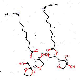 CCCCCCCC/C=C\CCCCCCCC(=O)O[C@@H]1[C@@H](O)CO[C@@H]1C1(CO)OCCO1.CCCCCCCC/C=C\CCCCCCCC(=O)O[C@H](CO)[C@H]1OC[C@H](O)[C@H]1O